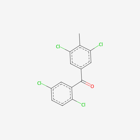 Cc1c(Cl)cc(C(=O)c2cc(Cl)ccc2Cl)cc1Cl